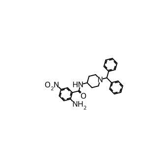 Nc1ccc([N+](=O)[O-])cc1C(=O)NC1CCN(C(c2ccccc2)c2ccccc2)CC1